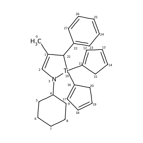 CC1=C[N](C2CCCCC2)[Ti]([C]2=CC=CC2)([C]2=CC=CC2)[CH]1c1ccccc1